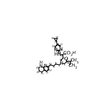 CN(C)C(=O)CN(CCCCc1ccc2c(n1)NCCC2)CCC(Nc1ncc(C2CC2)cn1)C(=O)O